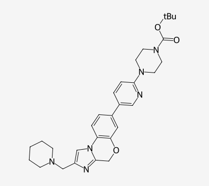 CC(C)(C)OC(=O)N1CCN(c2ccc(-c3ccc4c(c3)OCc3nc(CN5CCCCC5)cn3-4)cn2)CC1